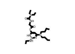 CCCCN(CCCC)C1=NN(NCC)NC(SC(=O)CNC(=O)N(CC)CC)=C1